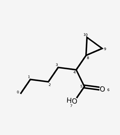 CCCCC(C(=O)O)C1CC1